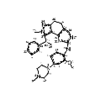 COc1cc(N2CCN(C)CC2)ccc1Nc1ncc2c(n1)-c1c(nn(C)c1[C@@H](C)c1ccccc1)CC2